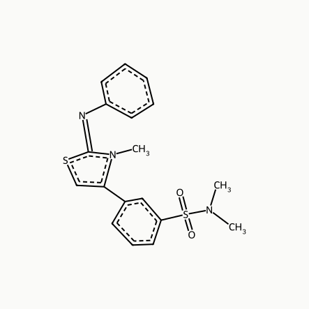 CN(C)S(=O)(=O)c1cccc(-c2csc(=Nc3ccccc3)n2C)c1